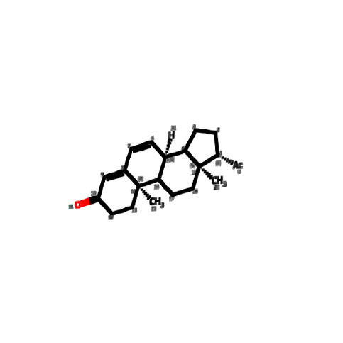 CC(=O)[C@H]1CCC2[C@@H]3C=CC4=CC(=O)CC[C@]4(C)C3CC[C@@]21C